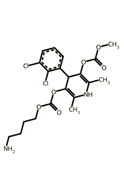 COC(=O)OC1=C(C)NC(C)=C(OC(=O)OCCCCN)C1c1cccc(Cl)c1Cl